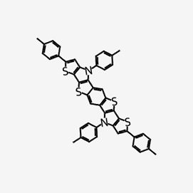 Cc1ccc(-c2cc3c(s2)c2sc4cc5c(cc4c2n3-c2ccc(C)cc2)sc2c3sc(-c4ccc(C)cc4)cc3n(-c3ccc(C)cc3)c52)cc1